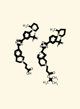 CC1CCCCN1c1ccc(-c2nc(-c3ccc4c(c3)CN(CCC(=O)O)CC4)no2)cc1C(F)(F)F.CC1CCCCN1c1ccc(-c2nc(-c3ccc4c(c3)CN(CCC(=O)OC(C)(C)C)CC4)no2)cc1C(F)(F)F